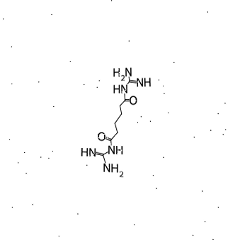 N=C(N)NC(=O)CCCCC(=O)NC(=N)N